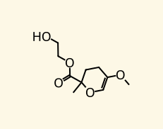 COC1=COC(C)(C(=O)OCCO)CC1